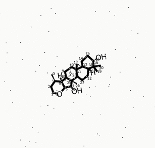 C[C@@H]1CCOC2[C@H]1[C@@]1(C)CCC34C[C@@]35CC[C@H](O)C(C)(C)[C@@H]5CCC4[C@]1(C)[C@H]2O